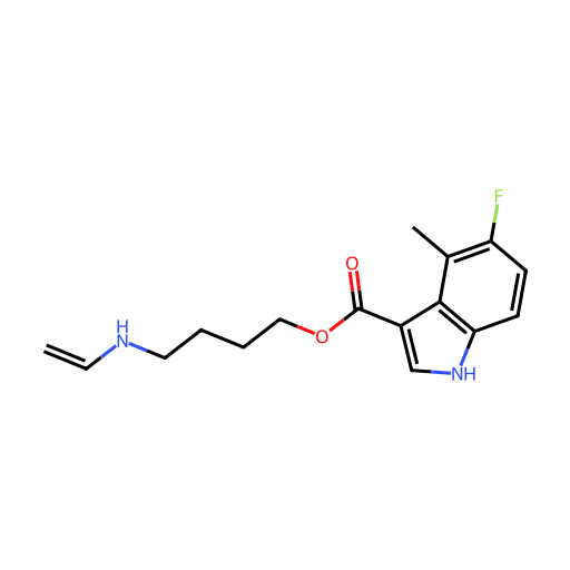 C=CNCCCCOC(=O)c1c[nH]c2ccc(F)c(C)c12